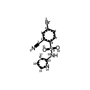 N#Cc1cc(Br)ccc1S(=O)(=O)Nc1nccs1